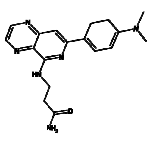 CN(C)C1=CC=C(c2cc3nccnc3c(NCCC(N)=O)n2)CC1